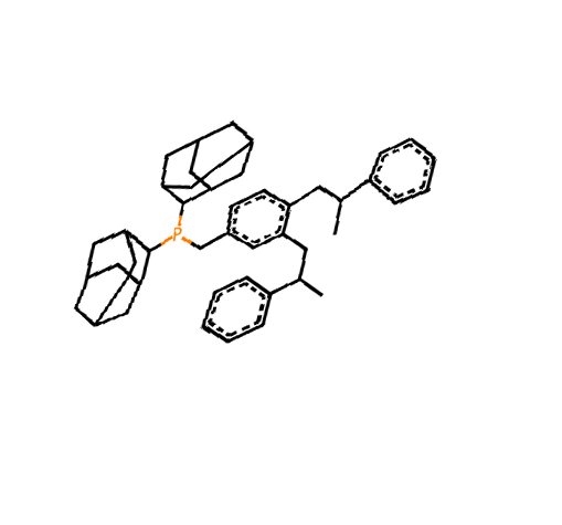 CC(Cc1ccc(CP(C2C3CC4CC(C3)CC2C4)C2C3CC4CC(C3)CC2C4)cc1CC(C)c1ccccc1)c1ccccc1